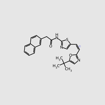 CC(C)(C)c1cnc(/C=C\c2cnc(NC(=O)Cc3ccc4ccccc4c3)s2)o1